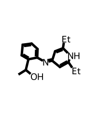 CCc1cc(=Nc2ccccc2C(C)O)cc(CC)[nH]1